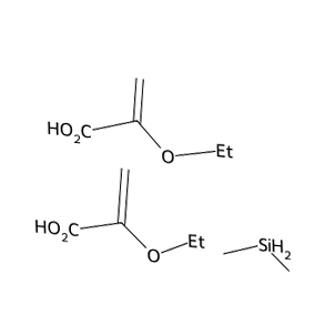 C=C(OCC)C(=O)O.C=C(OCC)C(=O)O.C[SiH2]C